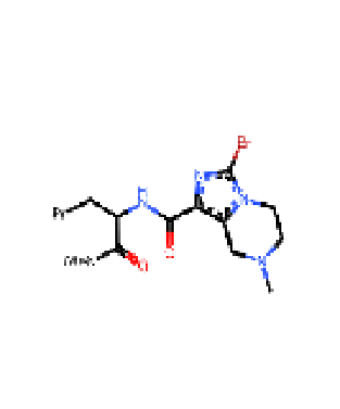 CNC(=O)C(CC(C)C)NC(=O)c1nc(Br)n2c1CN(C)CC2